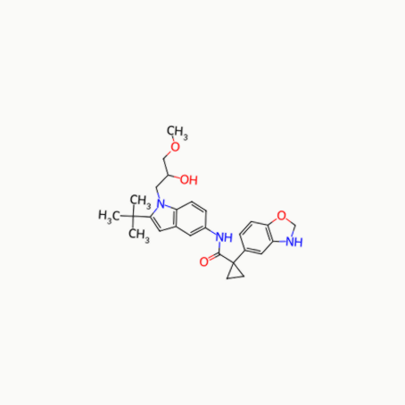 COCC(O)Cn1c(C(C)(C)C)cc2cc(NC(=O)C3(c4ccc5c(c4)NCO5)CC3)ccc21